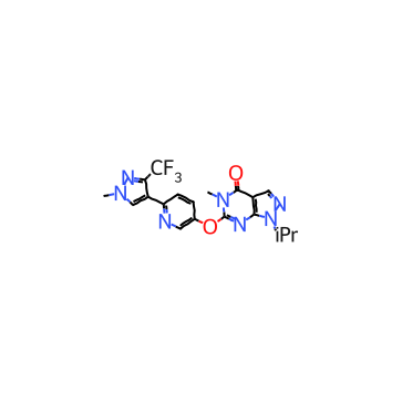 CC(C)n1ncc2c(=O)n(C)c(Oc3ccc(-c4cn(C)nc4C(F)(F)F)nc3)nc21